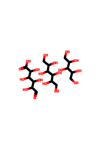 O=CC(O)C(O)C(O)C(O)C(=O)O.OCC(O)C(O)C(O)C(O)CO.OCC(O)C(O)C(O)CO